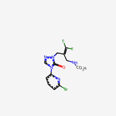 O=C(O)NCC(Cn1ncn(-c2cccc(Br)n2)c1=O)=C(F)F